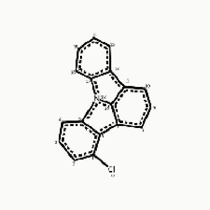 Clc1cccc2c1c1cccc3c4ccccc4n2c31